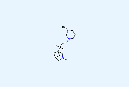 CN1CC2CC(C(C)(C)CCN3CCCC(C(C)(C)C)C3)(C2)C1